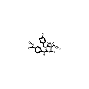 CC(C)n1c(=O)nc(Nc2ccc(C(=O)N=O)cc2)n(Cc2ccc(Cl)cc2)c1=O